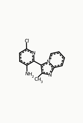 Cc1nc2ccccn2c1-c1nc(Cl)ccc1N